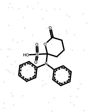 O=C1CCCC(N(c2ccccc2)c2ccccc2)(S(=O)(=O)O)O1